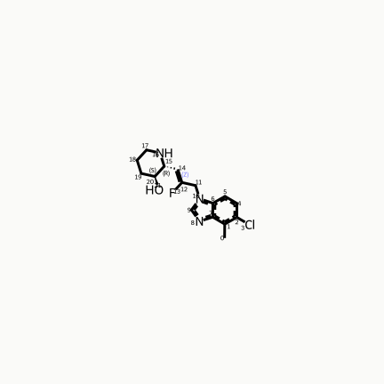 Cc1c(Cl)ccc2c1ncn2C/C(F)=C/[C@H]1NCCC[C@@H]1O